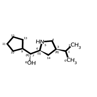 CC(C)[C@@H]1CN[C@H]([C@H](O)C2CCCC2)C1